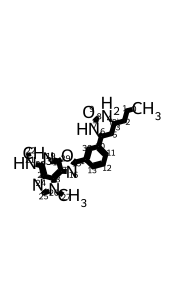 CCC[C@@H](N)CC(NC=O)c1cccc(-c2nc3c(nc(NC)c4ncn(C)c43)o2)c1